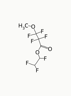 COC(F)(F)C(F)(F)C(=O)OC(F)C(F)F